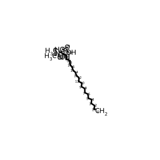 C=CCCCCCCCCCCCCCCCCCCCC(O)(C[N+](C)(C)C)P(=O)(O)O